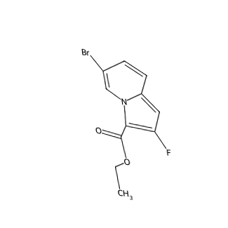 CCOC(=O)c1c(F)cc2ccc(Br)cn12